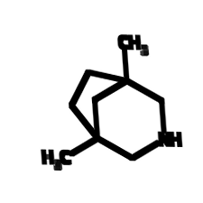 CC12CCC(C)(CNC1)C2